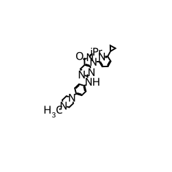 CC(C)n1c(=O)c2cnc(Nc3ccc(N4CCN(C)CC4)cc3)nc2n1-c1cccc(C2CC2)n1